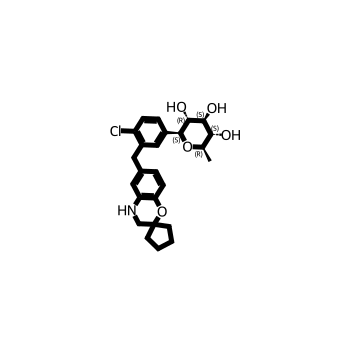 C[C@H]1O[C@@H](c2ccc(Cl)c(Cc3ccc4c(c3)NCC3(CCCC3)O4)c2)[C@H](O)[C@@H](O)[C@@H]1O